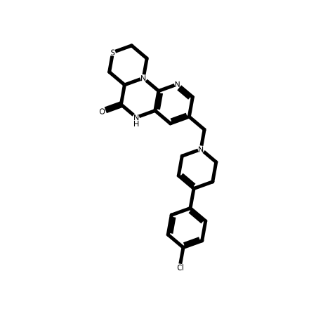 O=C1Nc2cc(CN3CC=C(c4ccc(Cl)cc4)CC3)cnc2N2CCSCC12